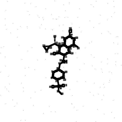 CCS(=O)(=O)c1ccc(CNc2nc3c(C)nc(Cl)nc3n([C@@H](C)C3CC3)c2=O)cn1